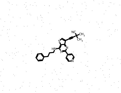 CC(C)(C#N)C#Cc1csc2c(NCCCc3ccccc3)nc(-c3ccncc3)nc12